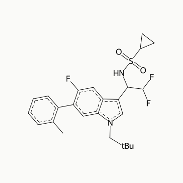 Cc1ccccc1-c1cc2c(cc1F)c(C(NS(=O)(=O)C1CC1)C(F)F)cn2CC(C)(C)C